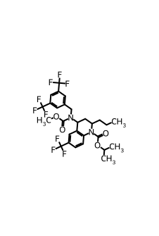 CCCC1CC(N(Cc2cc(C(F)(F)F)cc(C(F)(F)F)c2)C(=O)OC)c2cc(C(F)(F)F)ccc2N1C(=O)OC(C)C